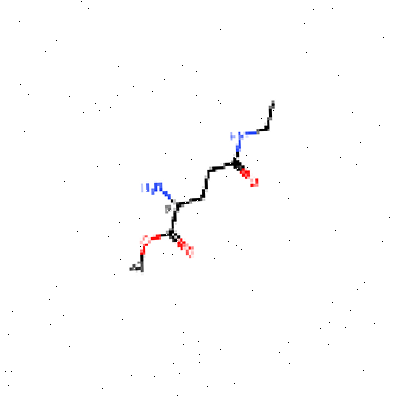 [2H]OC(=O)[C@@H](N)CCC(=O)NCC